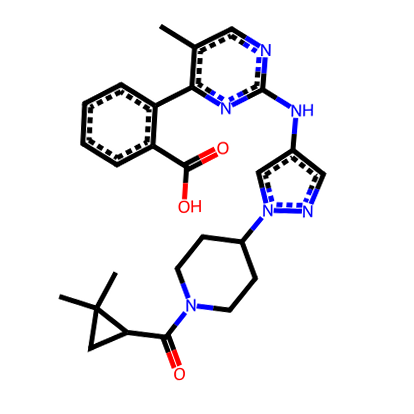 Cc1cnc(Nc2cnn(C3CCN(C(=O)C4CC4(C)C)CC3)c2)nc1-c1ccccc1C(=O)O